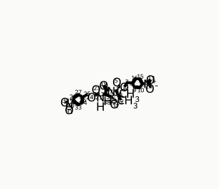 CC1(C)[C@H](C(=O)OCc2ccc([N+](=O)[O-])cc2)N2C(=O)[C@@H](NC(=O)OCc3ccc([N+](=O)[O-])cc3)[C@H]2[S+]1[O-]